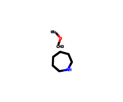 C1CCCNCC1.CC(C)(C)OC=O